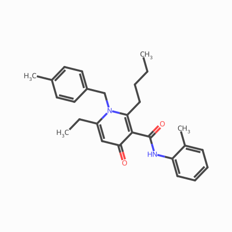 CCCCc1c(C(=O)Nc2ccccc2C)c(=O)cc(CC)n1Cc1ccc(C)cc1